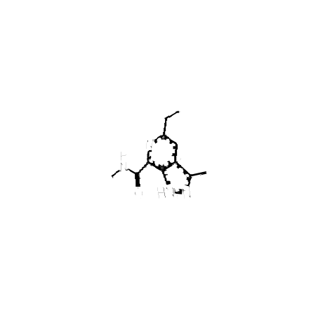 CCc1cc2c(C)n[nH]c2c(C(=O)NC)n1